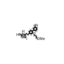 COCCCOc1cc(CCC(=O)NC(=N)N)ccc1-c1cccc(C(C)C)c1